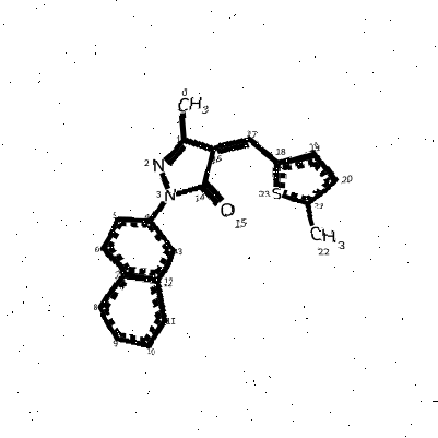 CC1=NN(c2ccc3ccccc3c2)C(=O)C1=Cc1ccc(C)s1